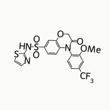 COc1cc(C(F)(F)F)ccc1N1C(=O)COc2cc(S(=O)(=O)Nc3nccs3)ccc21